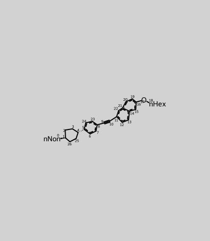 CCCCCCCCC[C@H]1CC[C@H](c2ccc(C#Cc3ccc4cc(OCCCCCC)ccc4c3)cc2)CC1